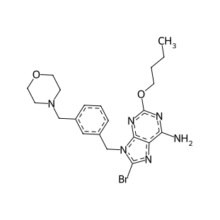 CCCCOc1nc(N)c2nc(Br)n(Cc3cccc(CN4CCOCC4)c3)c2n1